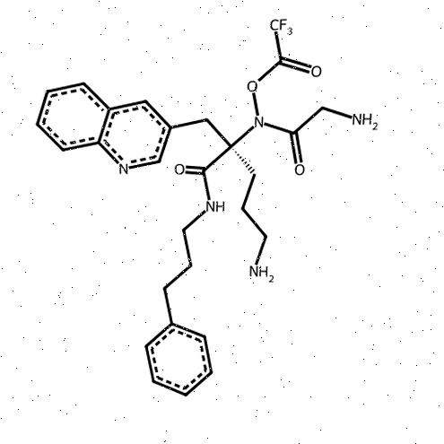 NCCC[C@@](Cc1cnc2ccccc2c1)(C(=O)NCCCc1ccccc1)N(OC(=O)C(F)(F)F)C(=O)CN